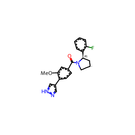 COc1cc(C(=O)N2C[CH]C[C@@H]2c2ccccc2F)ccc1-c1cn[nH]c1